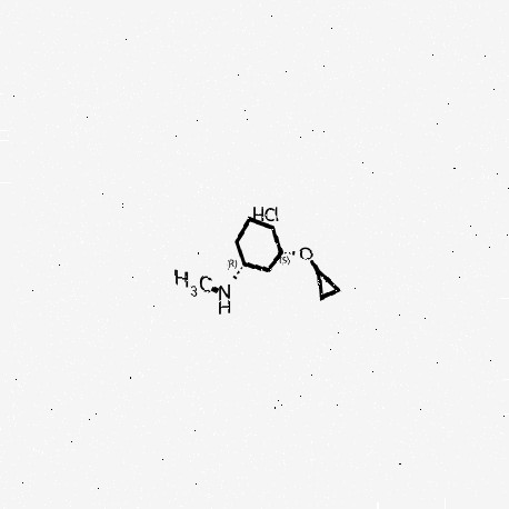 CN[C@@H]1CCC[C@H](OC2CC2)C1.Cl